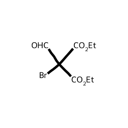 CCOC(=O)C(Br)(C=O)C(=O)OCC